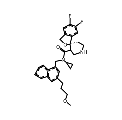 COCCCc1cc(CN(C(=O)C2CNCC[C@@]23OCc2cc(F)c(F)cc23)C2CC2)c2ccccc2c1